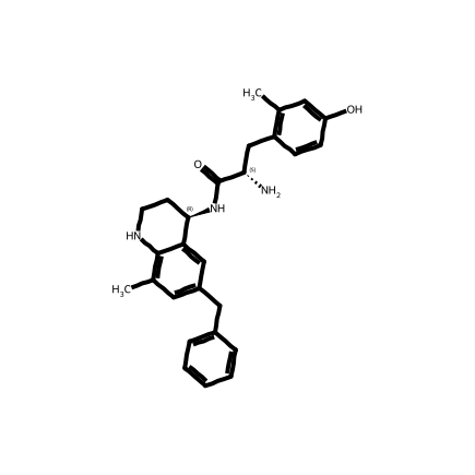 Cc1cc(O)ccc1C[C@H](N)C(=O)N[C@@H]1CCNc2c(C)cc(Cc3ccccc3)cc21